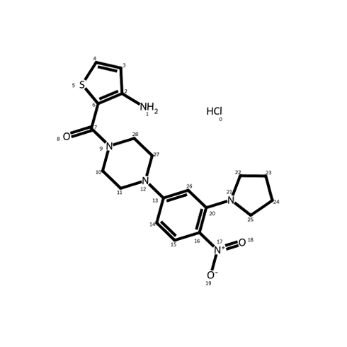 Cl.Nc1ccsc1C(=O)N1CCN(c2ccc([N+](=O)[O-])c(N3CCCC3)c2)CC1